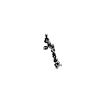 N#Cc1cnn2c(-c3cc(NC4CCOCC4)c(-c4nnc(N5CCN(C6CC7(CCN(c8ccc([C@H]9CCC(=O)NC9=O)cn8)CC7)C6)CC5)s4)cn3)ccc2c1